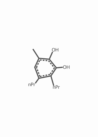 CCCc1cc(C)c(O)c(O)c1CCC